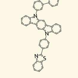 c1ccc(-c2cccc(-n3c4ccccc4c4cc5c(cc43)c3ccccc3n5-c3ccc(-c4nc5ccccc5s4)cc3)c2)cc1